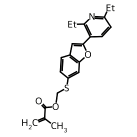 C=C(C)C(=O)OCSc1ccc2cc(-c3ccc(CC)nc3CC)oc2c1